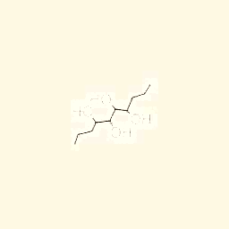 [CH2]CCC(O)C(O)C(O)C(O)CCC